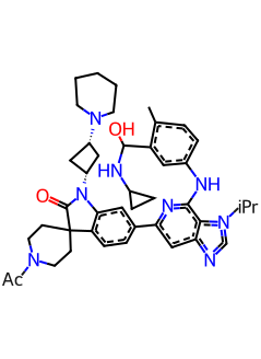 CC(=O)N1CCC2(CC1)C(=O)N([C@H]1C[C@@H](N3CCCCC3)C1)c1cc(-c3cc4ncn(C(C)C)c4c(Nc4ccc(C)c(C(O)NC5CC5)c4)n3)ccc12